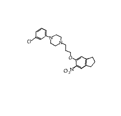 O=[N+]([O-])c1cc2c(cc1OCCCN1CCN(c3cccc(Cl)c3)CC1)CCC2